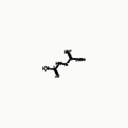 CNC(=N)SNC(N)=O